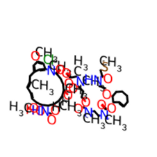 COc1cc2cc(c1Cl)N(C)C(=O)C[C@H](OC(=O)[C@H](C)N(C)C(=O)CCOC(=O)N(C)CCN(C)C(=O)OC1/C=C/CCCCC1OCCNC(=O)CSC)[C@]1(C)O[C@H]1[C@H](C)[C@@H]1C[C@@](O)(NC(=O)O1)[C@H](OC)/C=C/C=C(\C)C2